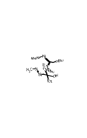 CCCC/C(CC)=N/NC.CCCCC(O)(CC)/N=N/C